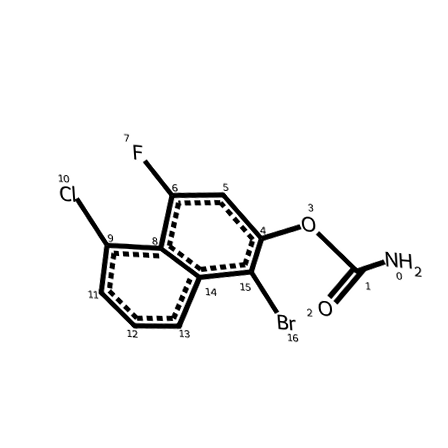 NC(=O)Oc1cc(F)c2c(Cl)cccc2c1Br